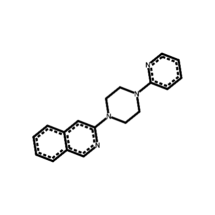 c1ccc(N2CCN(c3cc4ccccc4cn3)CC2)nc1